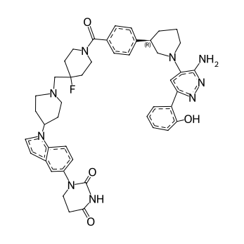 Nc1nnc(-c2ccccc2O)cc1N1CCC[C@H](c2ccc(C(=O)N3CCC(F)(CN4CCC(n5ccc6cc(N7CCC(=O)NC7=O)ccc65)CC4)CC3)cc2)C1